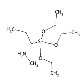 CCC[Si](OCC)(OCC)OCC.CN